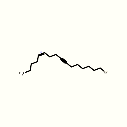 CCCC/C=C\CCC#CCCCCCCBr